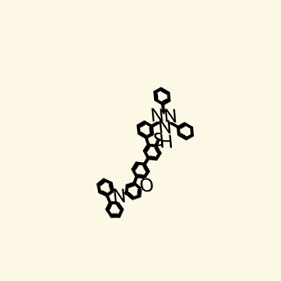 C1=CC(C2=NC(c3ccccc3)=NC(c3cccc4c3sc3ccc(-c5ccc6c(c5)oc5ccc(-n7c8ccccc8c8ccccc87)cc56)cc34)N2)=CCC1